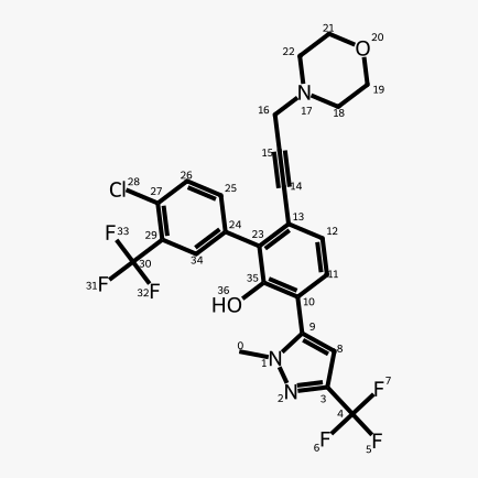 Cn1nc(C(F)(F)F)cc1-c1ccc(C#CCN2CCOCC2)c(-c2ccc(Cl)c(C(F)(F)F)c2)c1O